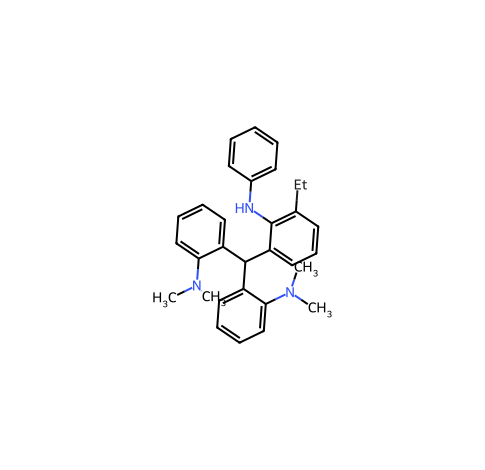 CCc1cccc(C(c2ccccc2N(C)C)c2ccccc2N(C)C)c1Nc1ccccc1